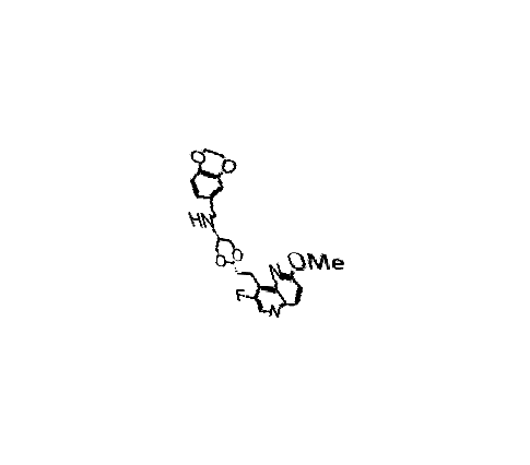 COc1ccc2ncc(F)c(CC[C@H]3OC[C@H](NCc4ccc5c(c4)OCCO5)CO3)c2n1